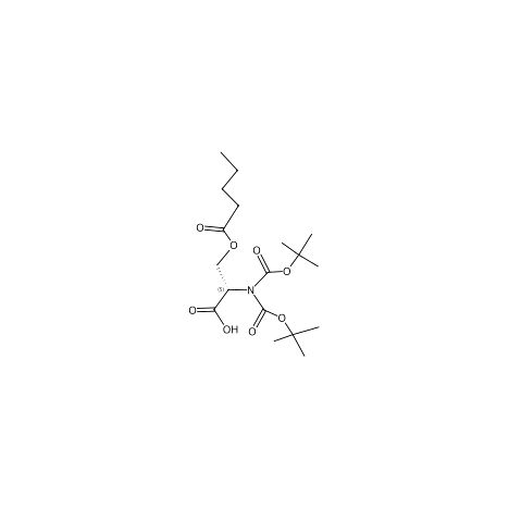 CCCCC(=O)OC[C@@H](C(=O)O)N(C(=O)OC(C)(C)C)C(=O)OC(C)(C)C